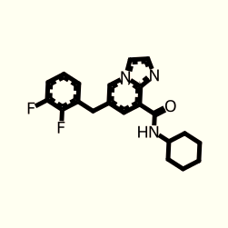 O=C(NC1CCCCC1)c1cc(Cc2cccc(F)c2F)cn2ccnc12